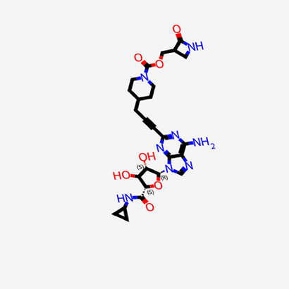 Nc1nc(C#CCC2CCN(C(=O)OCC3CNC3=O)CC2)nc2c1ncn2[C@@H]1O[C@H](C(=O)NC2CC2)C(O)[C@@H]1O